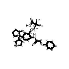 CC1CCC[N+]1(c1ccc(NC(=O)COc2ccccc2)c(C(F)(F)F)c1)C1CCNC1.O=C(O)C(F)(F)F